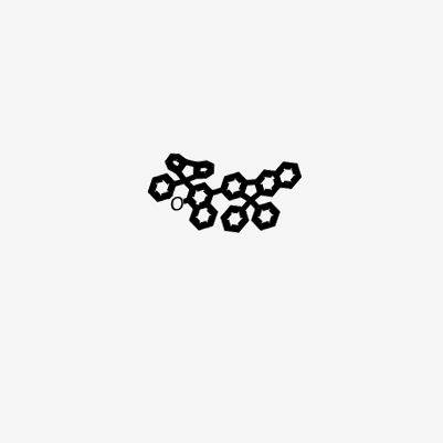 c1ccc(C2(c3ccccc3)c3cc(-c4cc5c(c6ccccc46)Oc4ccccc4C54c5ccccc5-c5ccccc54)ccc3-c3cc4ccccc4cc32)cc1